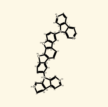 c1cc2c3ccncc3n(-c3ccc4oc5c(ccc6c7cc(-n8c9cnccc9c9ccncc98)ccc7oc65)c4c3)c2cn1